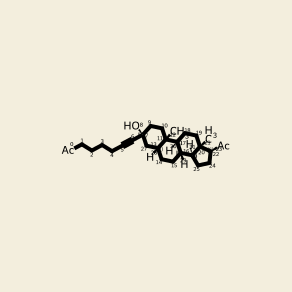 CC(=O)CCCCC#C[C@@]1(O)CC[C@@]2(C)[C@H](CC[C@@H]3[C@@H]2CC[C@]2(C)[C@@H](C(C)=O)CC[C@@H]32)C1